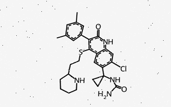 Cc1cc(C)cc(-c2c(SCCC3CCCCN3)c3cc(C4(NC(N)=O)CC4)c(Cl)cc3[nH]c2=O)c1